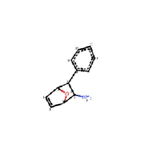 NC1C2C=CC(O2)C1c1ccccc1